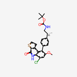 COc1cc(Cl)c2[nH]c(=O)c3sccc3c2c1-c1ccc([C@@H](C)CNC(=O)OC(C)(C)C)cc1